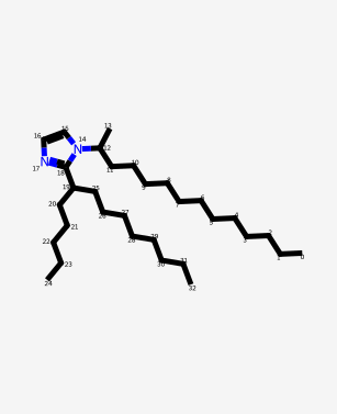 CCCCCCCCCCCCC(C)n1ccnc1C(CCCCC)CCCCCCCC